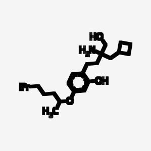 CC(C)CCCC(C)Oc1ccc(CCC(N)(CO)CC2CCC2)c(O)c1